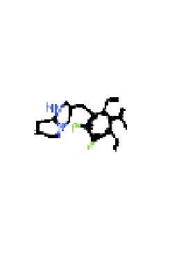 C=Cc1c(F)c(F)c(CC2=CN3CCCC3NC2)c(C=C)c1C(=C)C